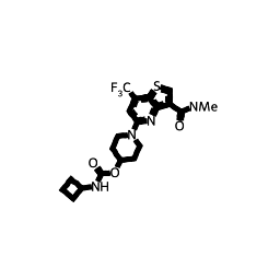 CNC(=O)c1csc2c(C(F)(F)F)cc(N3CCC(OC(=O)NC4CCC4)CC3)nc12